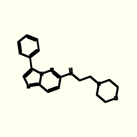 c1ccc(-c2cnc3ccc(NCCN4CCOCC4)nn23)cc1